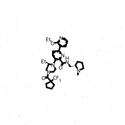 CCOc1ncccc1-c1ccc(N2CCN(C(=O)C3(C(F)(F)F)CCCC3)C[C@H]2CC)c(C(=O)NC[C@@H]2CCCN2C)n1